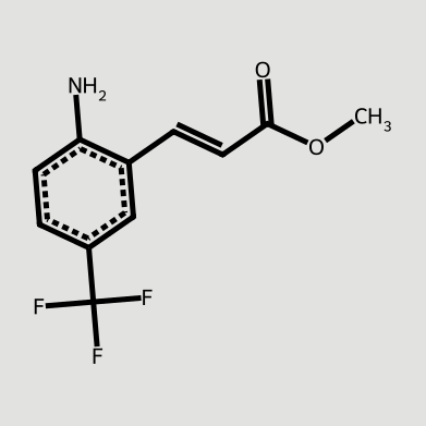 COC(=O)/C=C/c1cc(C(F)(F)F)ccc1N